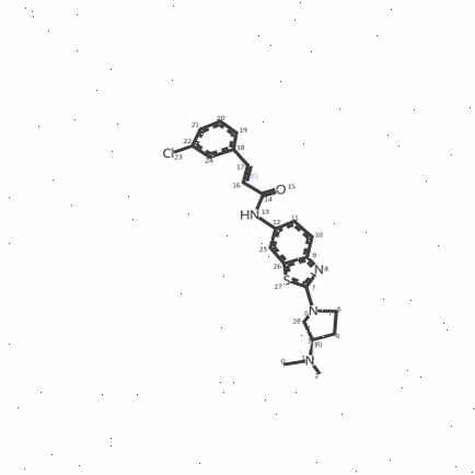 CN(C)[C@@H]1CCN(c2nc3ccc(NC(=O)/C=C/c4cccc(Cl)c4)cc3s2)C1